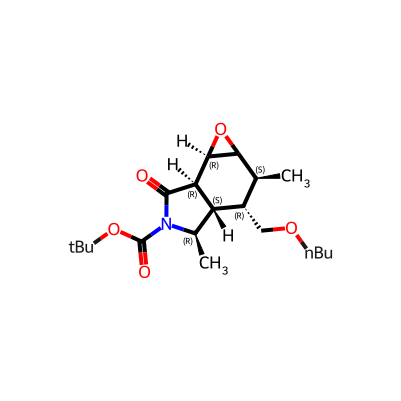 CCCCOC[C@@H]1[C@H]2[C@@H](C(=O)N(C(=O)OC(C)(C)C)[C@@H]2C)[C@H]2OC2[C@H]1C